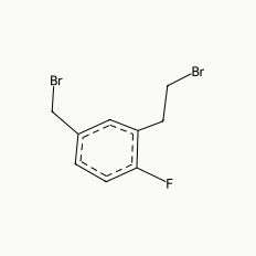 Fc1ccc(CBr)cc1CCBr